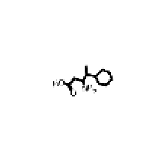 CC(C(N)CC(=O)O)C1CCCCC1